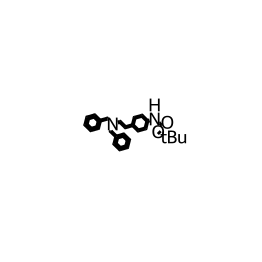 CC(C)(C)OC(=O)NC1CCC(CCN(Cc2ccccc2)Cc2ccccc2)CC1